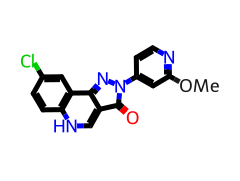 COc1cc(-n2nc3c4cc(Cl)ccc4[nH]cc-3c2=O)ccn1